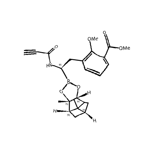 C#CC(=O)N[C@@H](Cc1cccc(C(=O)OC)c1OC)B1O[C@@H]2C[C@@H]3C[C@@H](C3(C)C)[C@]2(C)O1